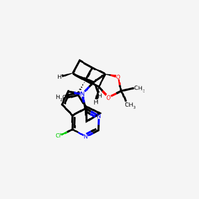 C=C(C1CC1)[C@@]12C3C[C@@H]1[C@@H](n1ccc4c(Cl)ncnc41)[C@]31OC(C)(C)O[C@@H]12